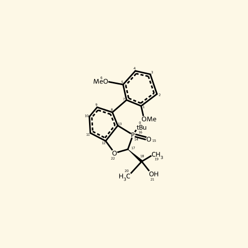 COc1cccc(OC)c1-c1cccc2c1P(=O)(C(C)(C)C)[C@@H](C(C)(C)O)O2